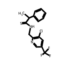 CC(C(=S)NCc1ncc(C(F)(F)F)cc1Cl)c1ccccc1